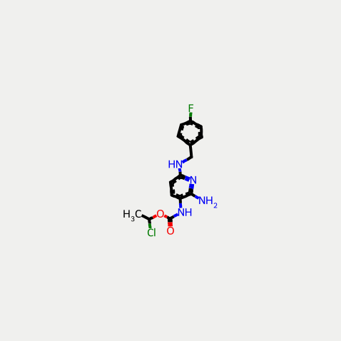 CC(Cl)OC(=O)Nc1ccc(NCc2ccc(F)cc2)nc1N